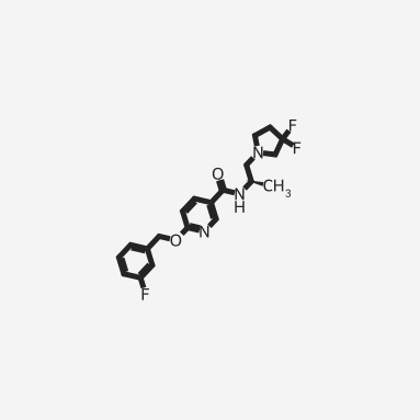 C[C@H](CN1CCC(F)(F)C1)NC(=O)c1ccc(OCc2cccc(F)c2)nc1